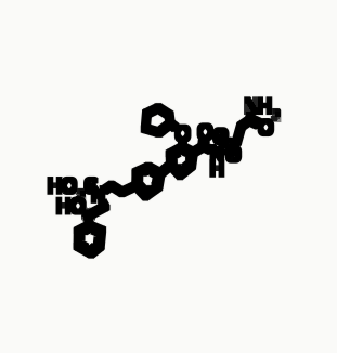 NC(=O)CCS(=O)(=O)NC(=O)c1ccc(-c2ccc(CCN(C[C@H](O)c3ccccc3)C(=O)O)cc2)cc1OC1CCCCC1